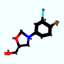 OC[C@H]1CN(c2ccc(Br)c(F)c2)CO1